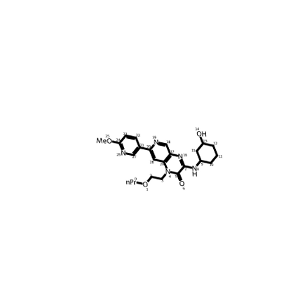 CCCOCCn1c(=O)c(NC2CCCC(O)C2)nc2cnc(-c3ccc(OC)nc3)cc21